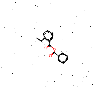 CCc1ccccc1C(=O)OC(=O)c1ccccc1